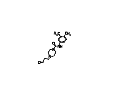 Cc1ccc(NC(=O)N2CCN(CCC=O)CC2)cc1C